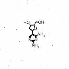 Nc1ncc(C2C[C@H](O)[C@@H](CO)O2)c(N)n1